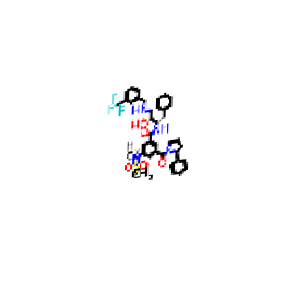 CN(c1cc(C(=O)N[C@@H](Cc2ccccc2)[C@H](O)CNCc2cccc(C(F)(F)F)c2)cc(C(=O)N2CCCC2c2ccccc2)c1)S(C)(=O)=O